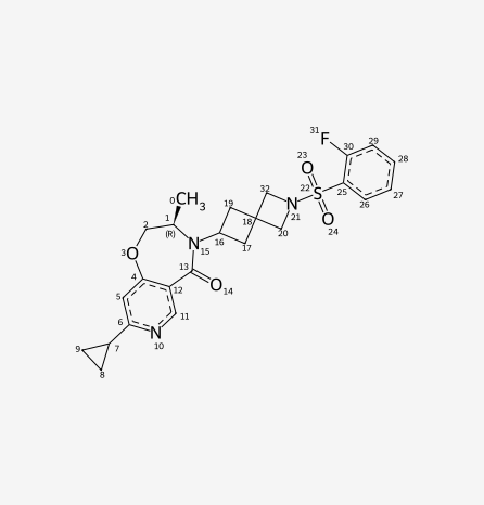 C[C@@H]1COc2cc(C3CC3)ncc2C(=O)N1C1CC2(C1)CN(S(=O)(=O)c1ccccc1F)C2